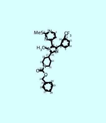 CSc1nccc(-c2c(-c3cccc(C(F)(F)F)c3)nc(C3CCN(C(=O)OCc4ccccc4)CC3)n2C)n1